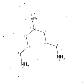 CCCN(CCCN)CCCN